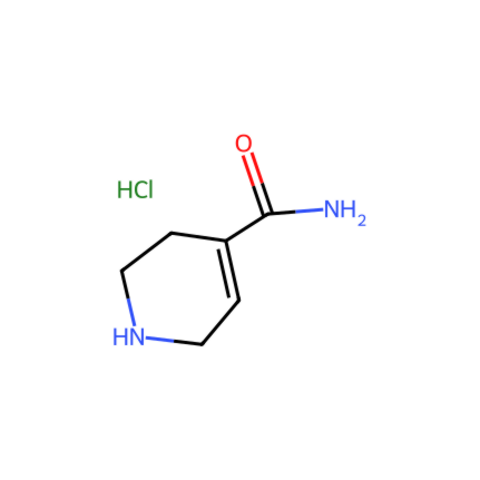 Cl.NC(=O)C1=CCNCC1